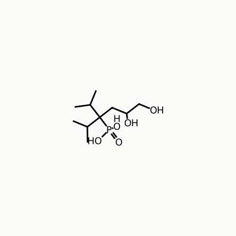 CC(C)C(CC(O)CO)(C(C)C)P(=O)(O)O